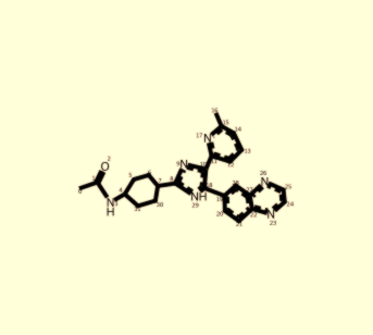 CC(=O)NC1CCC(c2nc(-c3cccc(C)n3)c(-c3ccc4nccnc4c3)[nH]2)CC1